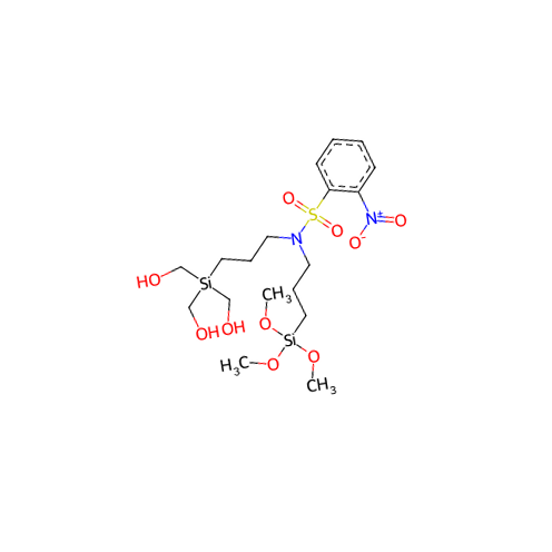 CO[Si](CCCN(CCC[Si](CO)(CO)CO)S(=O)(=O)c1ccccc1[N+](=O)[O-])(OC)OC